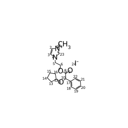 C[n+]1ccn(CCOC(=O)C(OC2CCCC2)c2ccccc2)c1.[I-]